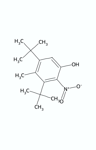 Cc1c(C(C)(C)C)cc(O)c([N+](=O)[O-])c1C(C)(C)C